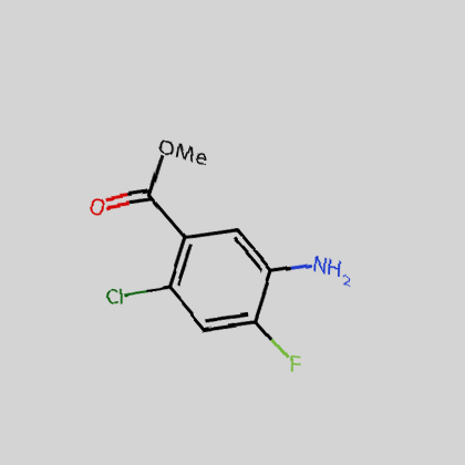 COC(=O)c1cc(N)c(F)cc1Cl